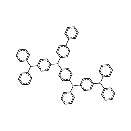 c1ccc(-c2ccc(N(c3ccc(C(c4ccccc4)c4ccccc4)cc3)c3ccc(N(c4ccccc4)c4ccc(N(c5ccccc5)c5ccccc5)cc4)cc3)cc2)cc1